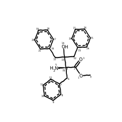 COC(=O)[C@](N)(Cc1ccccc1)C(O)(Cc1ccccc1)Cc1ccccc1